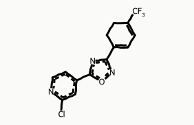 FC(F)(F)C1=CC=C(c2noc(-c3ccnc(Cl)c3)n2)CC1